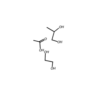 CC(=O)O.CC(O)CO.OCCO